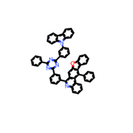 c1ccc(-c2nc(-c3cccc(-c4nc5ccccc5c5c(-c6ccccc6)c6c(cc45)oc4ccccc46)c3)nc(-c3cccc(-n4c5ccccc5c5ccccc54)c3)n2)cc1